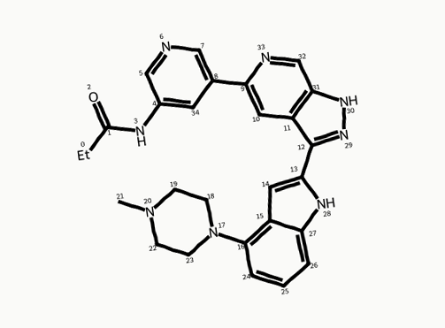 CCC(=O)Nc1cncc(-c2cc3c(-c4cc5c(N6CCN(C)CC6)cccc5[nH]4)n[nH]c3cn2)c1